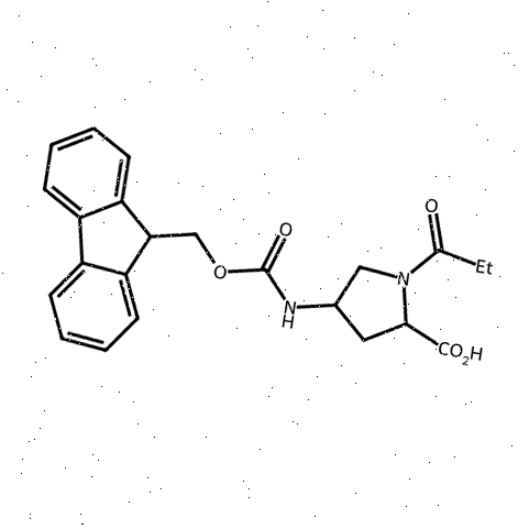 CCC(=O)N1CC(NC(=O)OCC2c3ccccc3-c3ccccc32)CC1C(=O)O